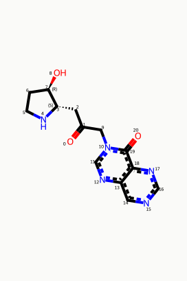 O=C(C[C@@H]1NCC[C@H]1O)Cn1cnc2cncnc2c1=O